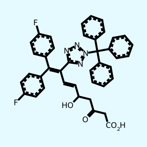 O=C(O)CC(=O)CC(O)/C=C/C(=C(c1ccc(F)cc1)c1ccc(F)cc1)c1nnn(C(c2ccccc2)(c2ccccc2)c2ccccc2)n1